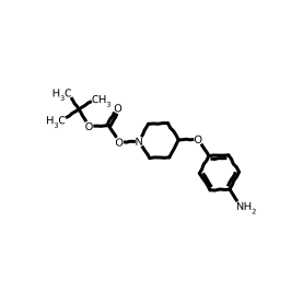 CC(C)(C)OC(=O)ON1CCC(Oc2ccc(N)cc2)CC1